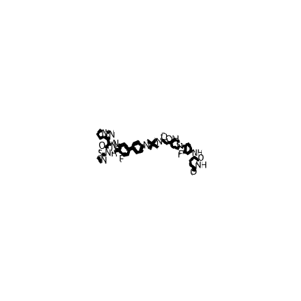 O=C1CCC(Nc2ccc(N3CCC(O)(CC(=O)N4CC5(C4)CN(c4ccc(-c6cc(F)c7cn(C(C(=O)Nc8nccs8)c8ncn9c8CCC9)nc7c6)cc4)C5)CC3)c(F)c2)C(=O)N1